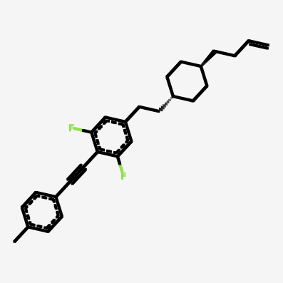 C=CCC[C@H]1CC[C@H](CCc2cc(F)c(C#Cc3ccc(C)cc3)c(F)c2)CC1